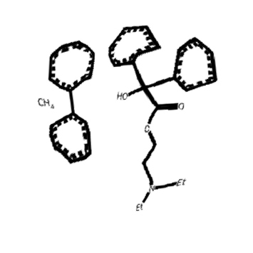 C.CCN(CC)CCOC(=O)C(O)(c1ccccc1)c1ccccc1.c1ccc(-c2ccccc2)cc1